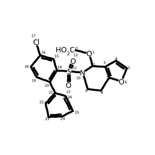 O=C(O)OC1c2ccoc2CCN1S(=O)(=O)c1cc(Cl)ccc1-c1ccccc1